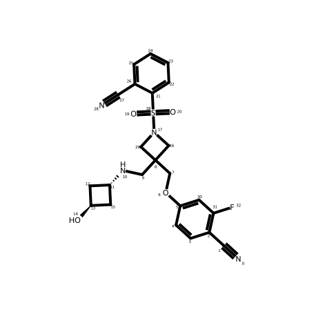 N#Cc1ccc(OCC2(CN[C@H]3C[C@H](O)C3)CN(S(=O)(=O)c3ccccc3C#N)C2)cc1F